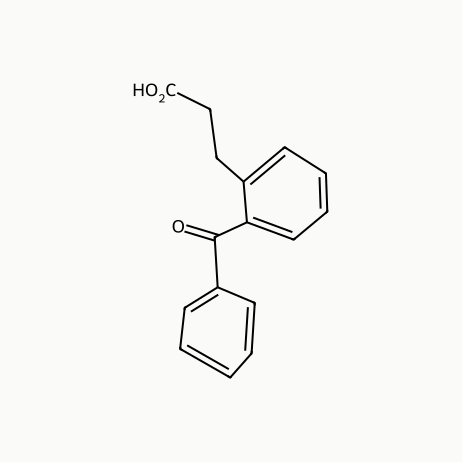 O=C(O)CCc1ccccc1C(=O)c1ccccc1